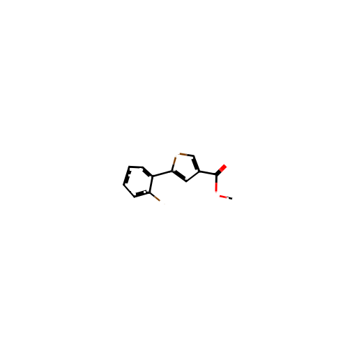 COC(=O)c1csc(-c2ccccc2S)c1